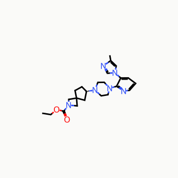 CCOC(=O)N1CC2(CC[C@@H](N3CCN(c4ncccc4-n4cnc(C)c4)CC3)C2)C1